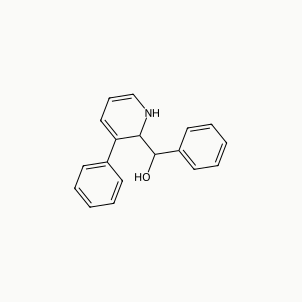 OC(c1ccccc1)C1NC=CC=C1c1ccccc1